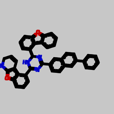 C1=Cc2c(oc3cccc(C4=NC(c5ccc6cc(-c7ccccc7)ccc6c5)=NC(c5cccc6oc7ccccc7c56)N4)c23)NC1